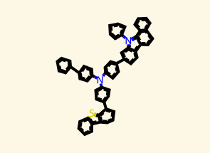 c1ccc(-c2ccc(N(c3ccc(-c4ccc5c6ccc7ccccc7c6n(-c6ccccc6)c5c4)cc3)c3ccc(-c4cccc5c4sc4ccccc45)cc3)cc2)cc1